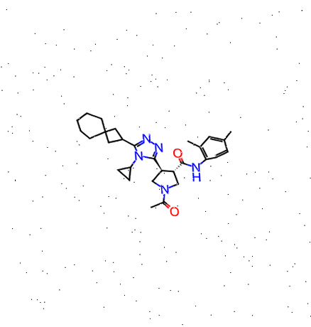 CC(=O)N1C[C@@H](C(=O)Nc2ccc(C)cc2C)[C@H](c2nnc(C3CC4(CCCCC4)C3)n2C2CC2)C1